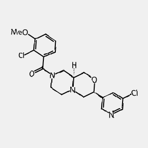 COc1cccc(C(=O)N2CCN3C[C@H](c4cncc(Cl)c4)OC[C@@H]3C2)c1Cl